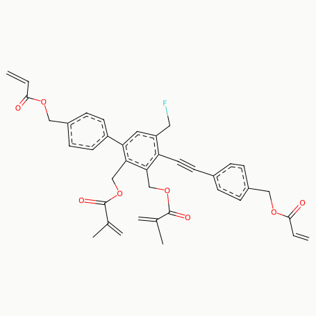 C=CC(=O)OCc1ccc(C#Cc2c(CF)cc(-c3ccc(COC(=O)C=C)cc3)c(COC(=O)C(=C)C)c2COC(=O)C(=C)C)cc1